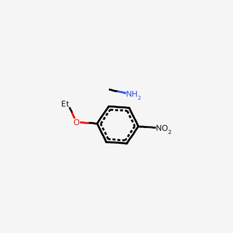 CCOc1ccc([N+](=O)[O-])cc1.CN